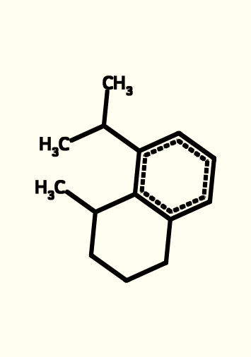 CC(C)c1cccc2c1C(C)CCC2